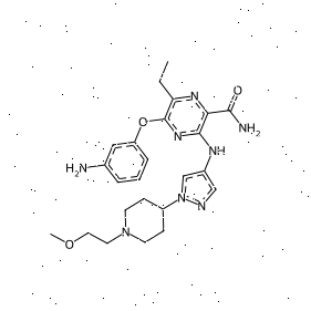 CCc1nc(C(N)=O)c(Nc2cnn(C3CCN(CCOC)CC3)c2)nc1Oc1cccc(N)c1